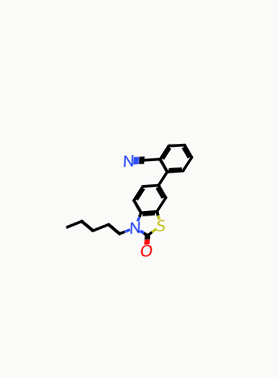 CCCCCn1c(=O)sc2cc(-c3ccccc3C#N)ccc21